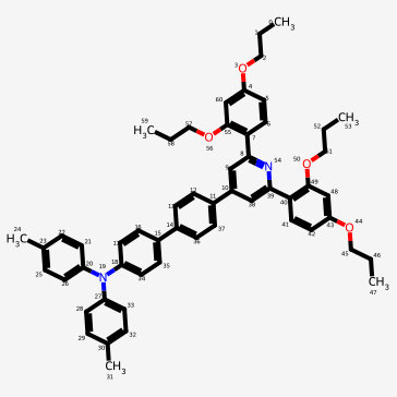 CCCOc1ccc(-c2cc(-c3ccc(-c4ccc(N(c5ccc(C)cc5)c5ccc(C)cc5)cc4)cc3)cc(-c3ccc(OCCC)cc3OCCC)n2)c(OCCC)c1